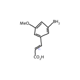 Bc1cc(/C=C/C(=O)O)cc(OC)c1